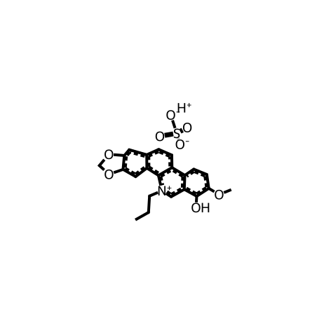 CCC[n+]1cc2c(O)c(OC)ccc2c2ccc3cc4c(cc3c21)OCO4.O=S(=O)([O-])[O-].[H+]